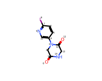 O=C1CN(c2ccc(I)nc2)C(=O)CN1